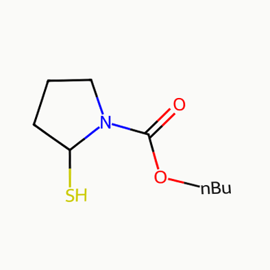 CCCCOC(=O)N1CCCC1S